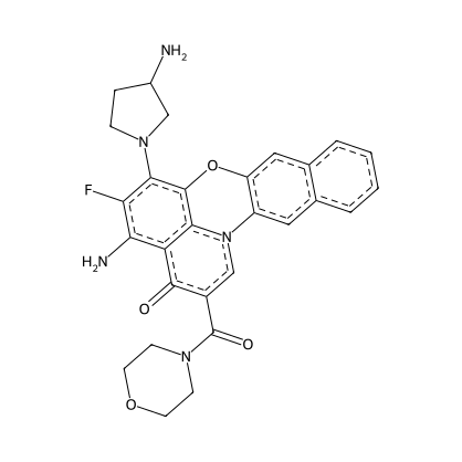 Nc1c(F)c(N2CCC(N)C2)c2c3c1c(=O)c(C(=O)N1CCOCC1)cn3-c1cc3ccccc3cc1O2